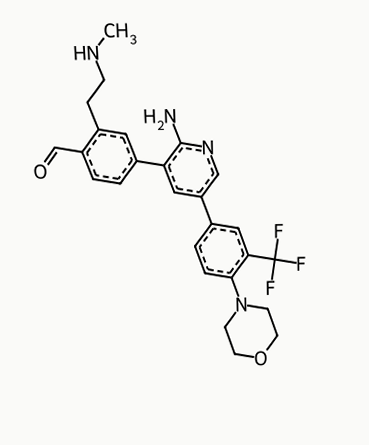 CNCCc1cc(-c2cc(-c3ccc(N4CCOCC4)c(C(F)(F)F)c3)cnc2N)ccc1C=O